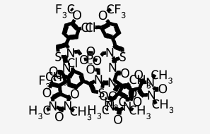 Cc1oc2c(c1CC(=O)/N=c1\scc(-c3ccc(OC(F)(F)F)c(Cl)c3)n1COP(=O)(OCn1c(-c3ccc(OC(F)(F)F)c(Cl)c3)cs/c1=N\C(=O)Cc1c(C)oc3c1c(=O)n(C)c(=O)n3C)OCn1c(-c3ccc(OC(F)(F)F)c(Cl)c3)cs/c1=N\C(=O)Cc1c(C)oc3c1c(=O)n(C)c(=O)n3C)c(=O)n(C)c(=O)n2C